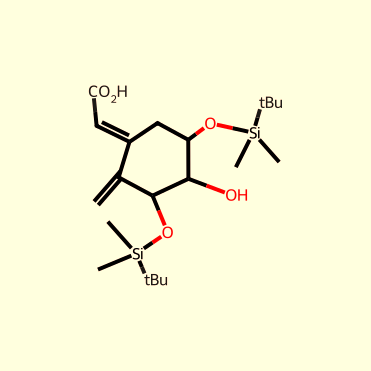 C=C1C(=CC(=O)O)CC(O[Si](C)(C)C(C)(C)C)C(O)C1O[Si](C)(C)C(C)(C)C